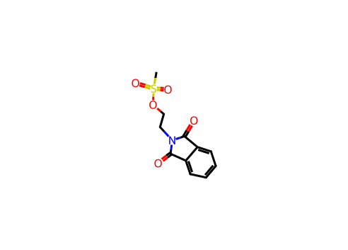 CS(=O)(=O)OCCN1C(=O)c2ccccc2C1=O